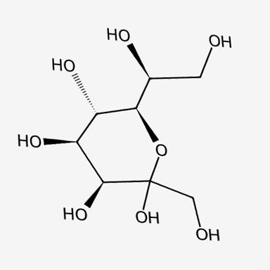 OC[C@H](O)[C@H]1OC(O)(CO)[C@@H](O)[C@@H](O)[C@@H]1O